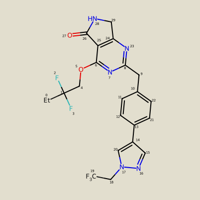 CCC(F)(F)COc1nc(Cc2ccc(-c3cnn(CC(F)(F)F)c3)cc2)nc2c1C(=O)NC2